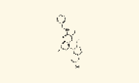 CCN(Cc1ccc(C)cc1-c1cc(CC(=O)O)ccc1OC)C(=O)NCc1ccccc1